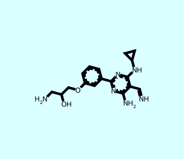 N=Cc1c(N)nc(-c2cccc(OCC(O)CN)c2)nc1NC1CC1